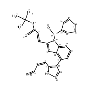 CC(C)(C)OC(=O)/C=C/c1cc2c(-c3cn[nH]c3/C=C\C=N)ccnc2n1[S+]([O-])c1ccccc1